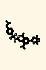 CC(C)c1cc(B2OC(C)(C)C(C)(C)O2)cc(C(C)C)c1CC(=O)NS(=O)(=O)c1ccc(CN(C)C)cc1